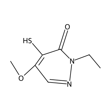 CCn1ncc(OC)c(S)c1=O